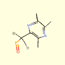 CCC(CC)(P=O)c1nc(C)c(C)nc1C